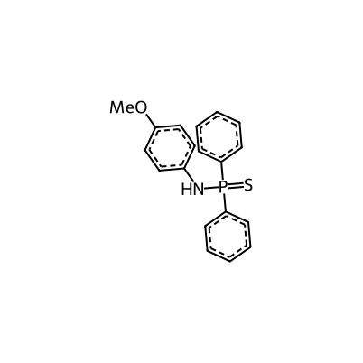 COc1ccc(NP(=S)(c2ccccc2)c2ccccc2)cc1